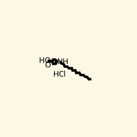 CCCCCCCCCCCCCCCCNc1ccc(C(=O)O)cc1.Cl